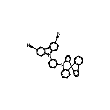 N#Cc1ccc2c(c1)c1cc(C#N)ccc1n2-c1cccc(N2c3ccccc3C3(c4ccccc4-c4ccccc43)c3ccccc32)c1